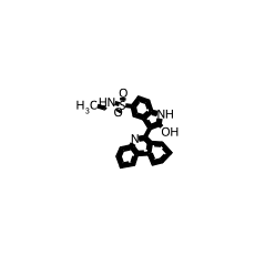 CCNS(=O)(=O)c1ccc2[nH]c(O)c(-c3nc4ccccc4c4ccccc34)c2c1